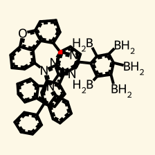 Bc1c(B)c(B)c(-c2nc(-c3cccc4oc5cccc(-n6c7ccccc7c7ccc(-c8ccccc8)cc76)c5c34)nc(-n3c4ccccc4c4ccccc43)n2)c(B)c1B